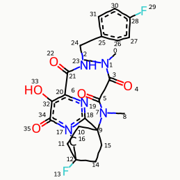 CN(C)C(=O)C(=O)N(C)C12CCC(F)(CC1)Cn1c2nc(C(=O)NCc2ccc(F)cc2)c(O)c1=O